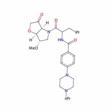 CCCN1CCN(c2ccc(C(=O)NC(CC(C)C)C(=O)N3C[C@H](OC)[C@H]4OCC(=O)[C@H]43)cc2)CC1